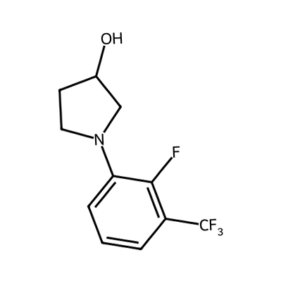 OC1CCN(c2cccc(C(F)(F)F)c2F)C1